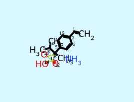 C=Cc1ccc(C(C)(C(C)C)S(=O)(=O)O)cc1.N